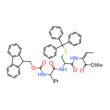 C/C=C(/NC(=O)C(CSC(c1ccccc1)(c1ccccc1)c1ccccc1)NC(=O)C(NC(=O)OCC1c2ccccc2-c2ccccc21)C(C)C)C(=O)OC